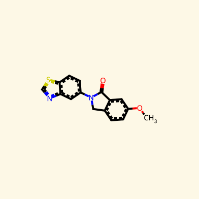 COc1ccc2c(c1)C(=O)N(c1ccc3scnc3c1)C2